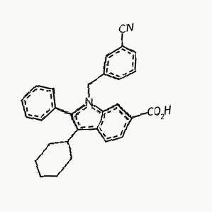 N#Cc1cccc(Cn2c(-c3ccccc3)c(C3CCCCC3)c3ccc(C(=O)O)cc32)c1